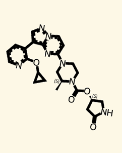 C[C@H]1CN(c2ccn3ncc(-c4cccnc4OC4CC4)c3n2)CCN1C(=O)O[C@@H]1CNC(=O)C1